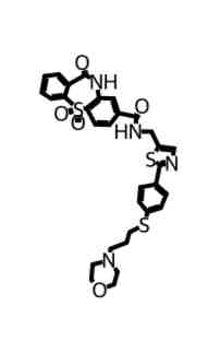 O=C(NCc1cnc(-c2ccc(SCCCN3CCOCC3)cc2)s1)c1ccc2c(c1)NC(=O)c1ccccc1S2(=O)=O